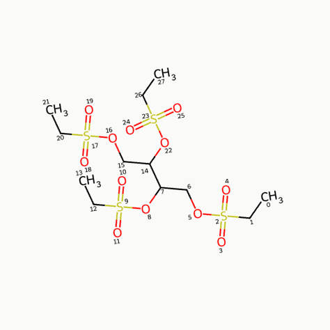 CCS(=O)(=O)OCC(OS(=O)(=O)CC)C(COS(=O)(=O)CC)OS(=O)(=O)CC